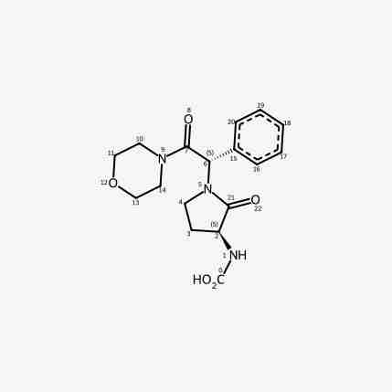 O=C(O)N[C@H]1CCN([C@H](C(=O)N2CCOCC2)c2ccccc2)C1=O